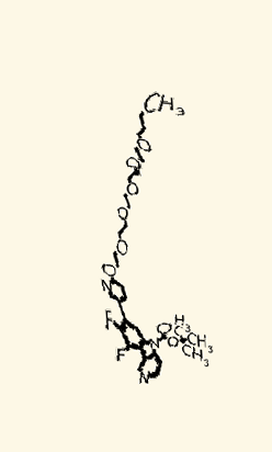 CCCCOCCOCCOCCOCCOCCOc1ccc(-c2cc3c(c(F)c2F)c2cnccc2n3C(=O)OC(C)(C)C)cn1